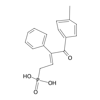 Cc1ccc(C(=O)C(=CCP(=O)(O)O)c2ccccc2)cc1